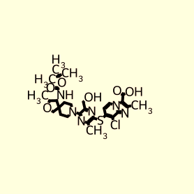 Cc1nc(N2CCC3(CC2)CO[C@@H](C)[C@H]3NC(=O)OC(C)(C)C)c(CO)nc1Sc1ccn2c(C(=O)O)c(C)nc2c1Cl